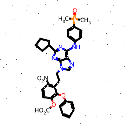 CP(C)(=O)c1ccc(Nc2nc(C3CCCC3)nc3c2ncn3CCc2c([N+](=O)[O-])ccc(OC(=O)O)c2Oc2ccccc2)cc1